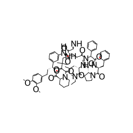 CCN(C)C(=O)[C@H](CC(C)C)N(C)C(=O)[C@H]1CCCN1C(=O)[C@H](Cc1ccccc1)N(C)C(=O)C(NC(=O)CCC(=O)Nc1cccc([C@@H](CCc2ccc(OC)c(OC)c2)OC(=O)[C@@H]2CCCCN2C(=O)C(=O)C(C)(C)CNC(=O)C=N)c1)c1ccccc1